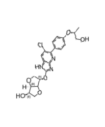 CC(CO)Oc1ccc(-c2nc3nc(O[C@@H]4CO[C@H]5C4OC[C@H]5O)[nH]c3cc2Cl)cc1